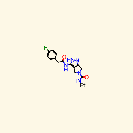 CCNC(=O)N1Cc2n[nH]c(NC(=O)Cc3ccc(F)cc3)c2C1